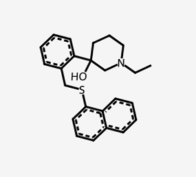 CCN1CCCC(O)(c2ccccc2CSc2cccc3ccccc23)C1